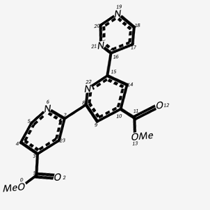 COC(=O)c1ccnc(-c2cc(C(=O)OC)cc(-c3ccncn3)n2)c1